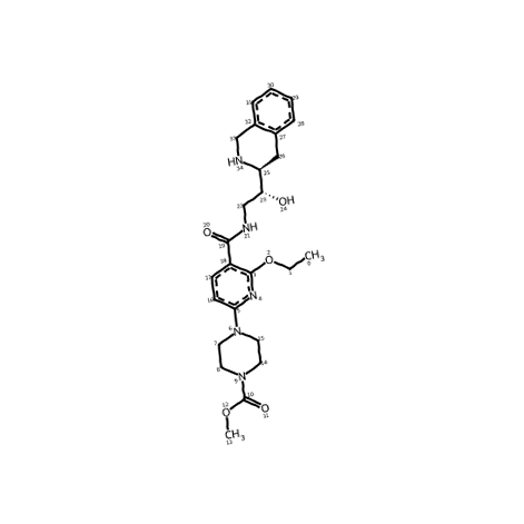 CCOc1nc(N2CCN(C(=O)OC)CC2)ccc1C(=O)NC[C@@H](O)[C@@H]1Cc2ccccc2CN1